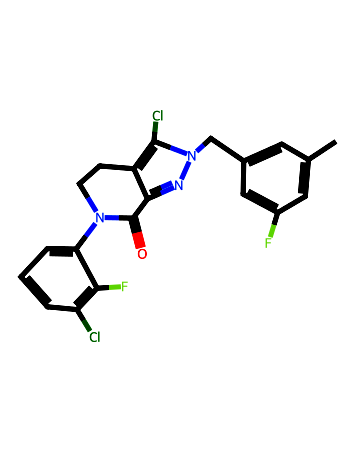 Cc1cc(F)cc(Cn2nc3c(c2Cl)CCN(c2cccc(Cl)c2F)C3=O)c1